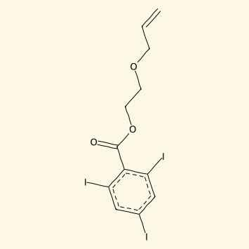 C=CCOCCOC(=O)c1c(I)cc(I)cc1I